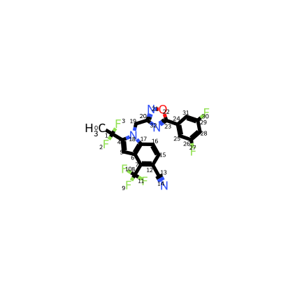 CC(F)(F)c1cc2c(C(F)(F)F)c(C#N)ccc2n1Cc1noc(-c2cc(F)cc(F)c2)n1